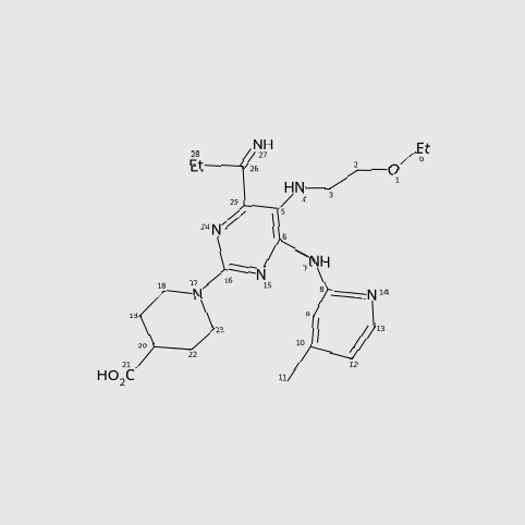 CCOCCNc1c(Nc2cc(C)ccn2)nc(N2CCC(C(=O)O)CC2)nc1C(=N)CC